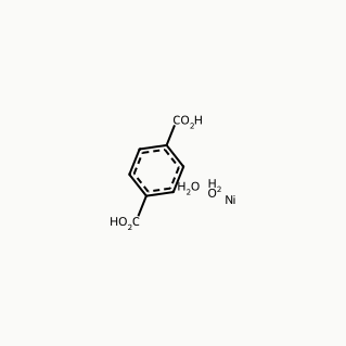 O.O.O=C(O)c1ccc(C(=O)O)cc1.[Ni]